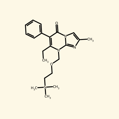 CCc1c(-c2ccccc2)c(=O)n2cc(C)nc2n1COCC[Si](C)(C)C